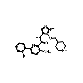 Cn1ncc(NC(=O)c2nc(-c3ccccc3F)ccc2N)c1OCC1CCNCC1